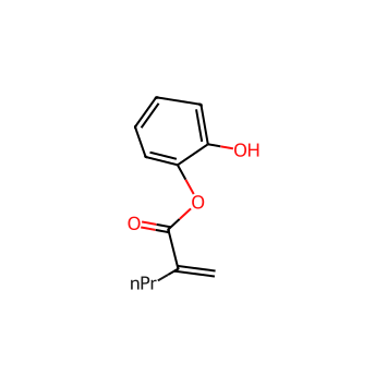 C=C(CCC)C(=O)Oc1ccccc1O